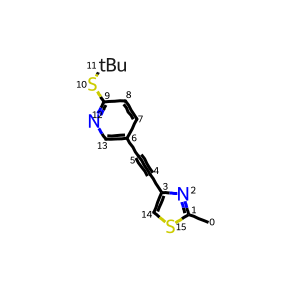 Cc1nc(C#Cc2ccc(SC(C)(C)C)nc2)cs1